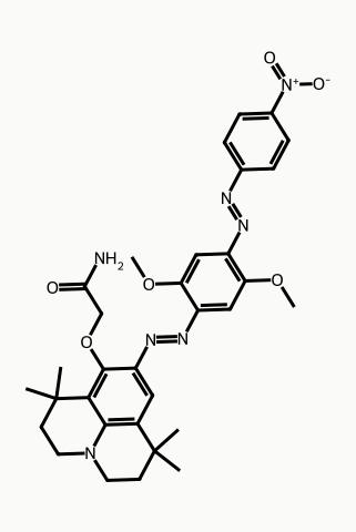 COc1cc(N=Nc2cc3c4c(c2OCC(N)=O)C(C)(C)CCN4CCC3(C)C)c(OC)cc1N=Nc1ccc([N+](=O)[O-])cc1